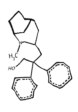 CN1C2CCC(C2)CC1CC(CO)(c1ccccc1)c1ccccc1